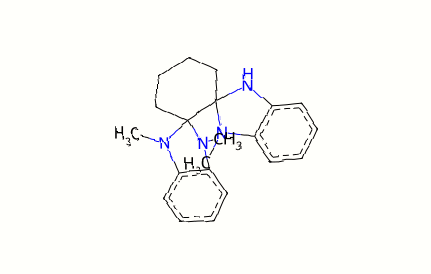 CN1c2ccccc2NC12CCCCC21N(C)c2ccccc2N1C